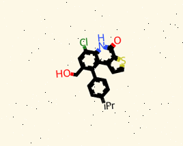 CC(C)c1ccc(-c2c(CO)cc(Cl)c3[nH]c(=O)c4sccc4c23)cc1